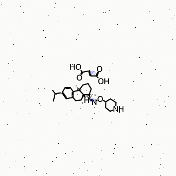 CC(C)c1ccc2c(c1)CC[C@H]1[C@](C)(/C=N\OC3CCNCC3)CCC[C@]21C.O=C(O)/C=C/C(=O)O